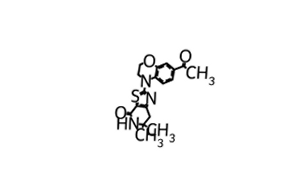 CC(=O)c1ccc2c(c1)OCCN2c1nc2c(s1)C(=O)NC(C)(C)C2